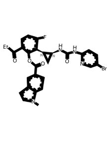 CCC(=O)c1ccc(F)c([C@@H]2C[C@@H]2NC(=O)Nc2ccc(Br)cn2)c1OC(=O)c1ccc2c(ccn2C)c1